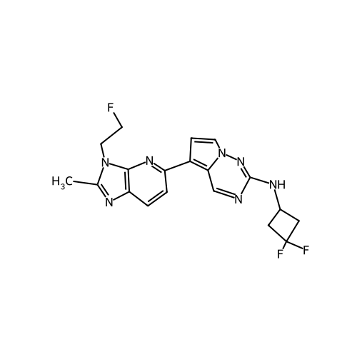 Cc1nc2ccc(-c3ccn4nc(NC5CC(F)(F)C5)ncc34)nc2n1CCF